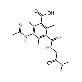 CC(=O)Nc1c(I)c(C(=O)O)c(I)c(C(=O)NCC(=O)N(C)C)c1I